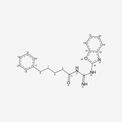 N=C(NC(=O)CCCCc1ccccc1)Nc1nc2ccccc2o1